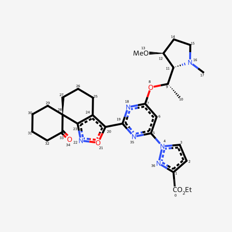 CCOC(=O)c1ccn(-c2cc(O[C@@H](C)[C@@H]3[C@@H](OC)CCN3C)nc(-c3onc4c3CCC[C@@]43CCCCC3=O)n2)n1